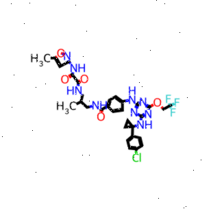 Cc1cc(NC(=O)C(=O)NCC(C)CNC(=O)c2ccc(Nc3nc(NC4(c5ccc(Cl)cc5)CC4)nc(OCC(F)(F)F)n3)cc2)no1